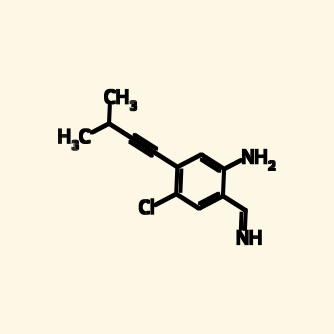 CC(C)C#Cc1cc(N)c(C=N)cc1Cl